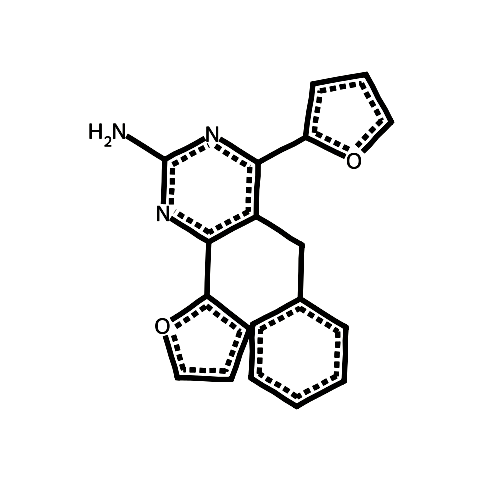 Nc1nc(-c2ccco2)c(Cc2ccccc2)c(-c2ccco2)n1